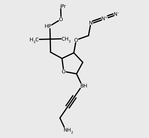 CC(C)OPC(C)(C)CC1OC(BC#CCN)CC1OCN=[N+]=[N-]